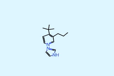 CCCc1cnccc1C(C)(C)C.c1c[nH]cn1